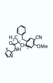 COc1ccc([C@@H](c2ccccc2)C(C)(C)C(=O)Nc2nccs2)cc1C#N